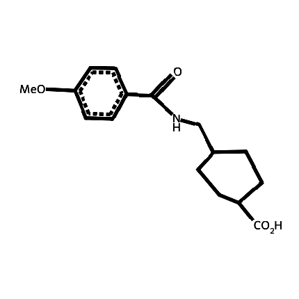 COc1ccc(C(=O)NCC2CCC(C(=O)O)CC2)cc1